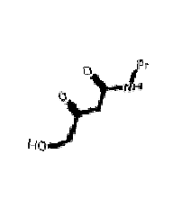 CC(C)NC(=O)CC(=O)CO